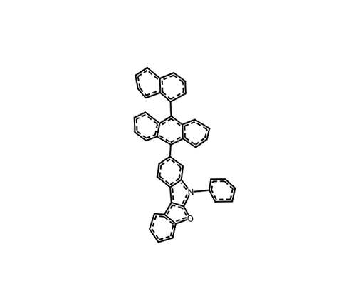 c1ccc(-n2c3cc(-c4c5ccccc5c(-c5cccc6ccccc56)c5ccccc45)ccc3c3c4ccccc4oc32)cc1